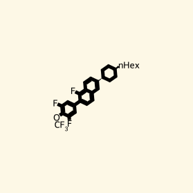 CCCCCC[C@H]1CC[C@H](c2ccc3c(F)c(-c4cc(F)c(OC(F)(F)F)c(F)c4)ccc3c2)CC1